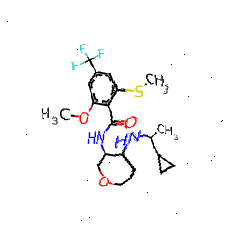 COc1cc(C(F)(F)F)cc(SC)c1C(=O)NC1COCCC1NC(C)C1CC1